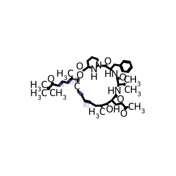 CC(=O)CCC1C(=O)NC(C(C)C)C(=O)NC(Cc2ccccc2)C(=O)N2CCCC(N2)C(=O)O[C@H](/C(C)=C/C=C/C(=O)C(C)(C)C)C/C=C/C=C/CC(C)C1O